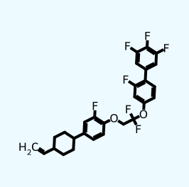 C=CC1CCC(c2ccc(OCC(F)(F)Oc3ccc(-c4cc(F)c(F)c(F)c4)c(F)c3)c(F)c2)CC1